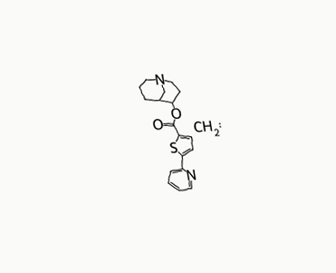 O=C(OC1CCN2CCCC1C2)c1ccc(-c2ccccn2)s1.[CH2]